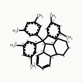 Cc1cc(C)cc(C(c2cc(C)cc(C)c2)(c2cc(C)cc(C)c2)C2C3C=CC=CC3C3CCCCC32)c1